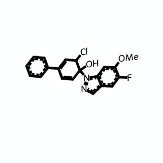 COc1cc2c(cnn2C2(O)C=CC(c3ccccc3)=CC2Cl)cc1F